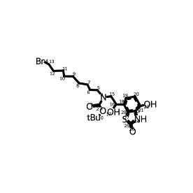 CC(C)(C)OC(=O)N(CCCCCCCCCBr)CC(O)c1ccc(O)c2[nH]c(=O)sc12